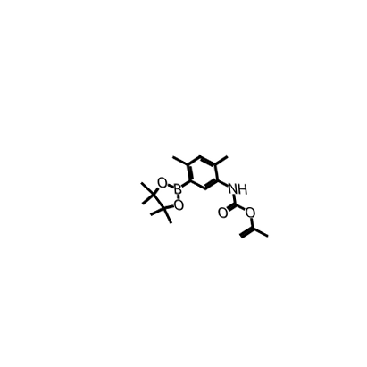 C=C(C)OC(=O)Nc1cc(B2OC(C)(C)C(C)(C)O2)c(C)cc1C